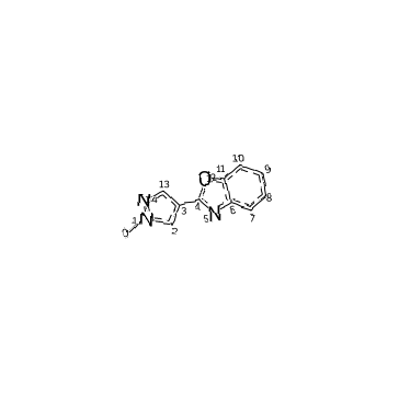 Cn1cc(-c2nc3ccccc3o2)cn1